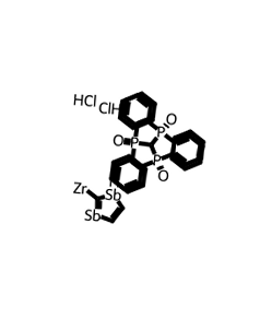 Cl.Cl.O=P(c1ccccc1)(c1ccccc1)C(P(=O)(c1ccccc1)c1ccccc1)P(=O)(c1ccccc1)c1ccccc1.[Zr][C]1=[Sb][CH]=[CH][SbH]1